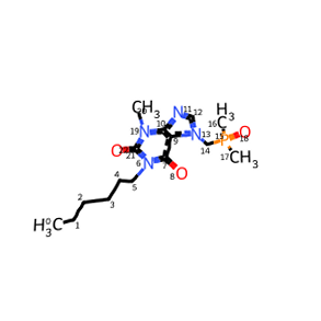 CCCCCCn1c(=O)c2c(ncn2CP(C)(C)=O)n(C)c1=O